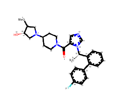 COC1CN(C2CCN(C(=O)c3cncn3[C@@H](C)c3ccccc3-c3ccc(F)cc3)CC2)C[C@@H]1O